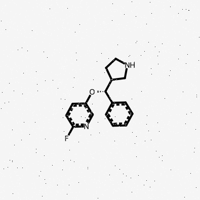 Fc1ccc(O[C@@H](c2ccccc2)C2CCNC2)cn1